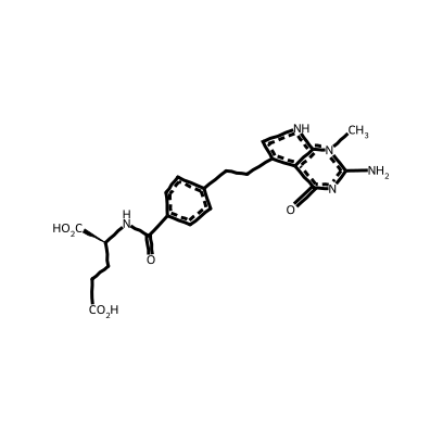 Cn1c(N)nc(=O)c2c(CCc3ccc(C(=O)N[C@@H](CCC(=O)O)C(=O)O)cc3)c[nH]c21